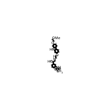 COCCOc1ccc2c(c1)[nH]c1cc(OCCNC[C@H](O)c3cccc(NS(C)(=O)=O)c3)ccc12